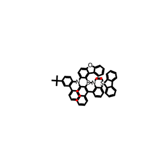 CC(C)(C)c1ccc(N2c3cc4ccccc4c4c3B(c3c2ccc2oc5ccccc5c32)N2c3ccccc3[Si]3(c5ccccc5-c5ccccc53)c3cccc-4c32)c(-c2ccccc2)c1